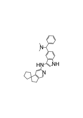 CN(C)C(c1ccccc1)c1ccc2[nH]cc(Nc3cc4c(cn3)CCC43CCCC3)c2c1